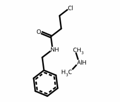 O=C(CCCl)NCc1ccccc1.[CH3][AlH][CH3]